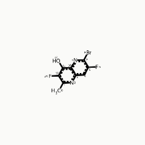 Cc1nc2cc(F)c(Br)nc2c(O)c1F